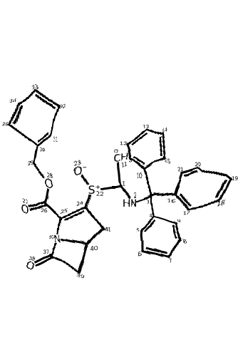 CC(NC(c1ccccc1)(c1ccccc1)c1ccccc1)[S+]([O-])C1=C(C(=O)OCc2ccccc2)N2C(=O)CC2C1